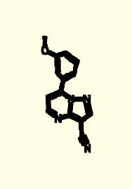 COc1cccc(-c2ccnc3c(C#N)cnn23)c1